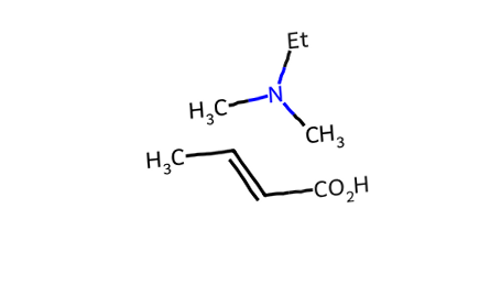 CC=CC(=O)O.CCN(C)C